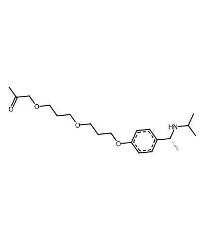 CC(=O)COCCCOCCCOc1ccc([C@@H](C)NC(C)C)cc1